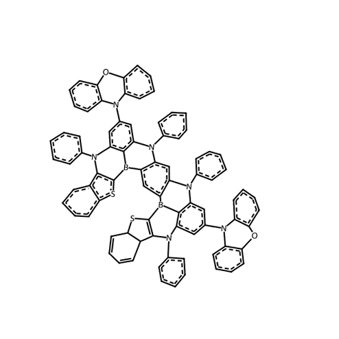 C1=CC2SC3=C(C2C=C1)N(c1ccccc1)c1cc(N2c4ccccc4Oc4ccccc42)cc2c1B3c1cc3c(cc1N2c1ccccc1)N(c1ccccc1)c1cc(N2c4ccccc4Oc4ccccc42)cc2c1B3c1sc3ccccc3c1N2c1ccccc1